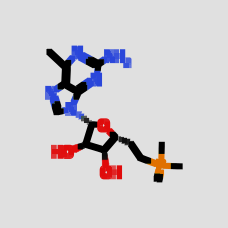 C=P(C)(C)CC[C@H]1O[C@@H](n2cnc3c(C)nc(N)nc32)[C@H](O)[C@@H]1O